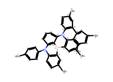 CCCCc1ccc(N2c3ccc(CCCC)cc3B3c4cc(CCCC)ccc4N(c4ccc(CCCC)cc4-c4cc(CCCC)cc(CCCC)c4)c4cccc2c43)cc1